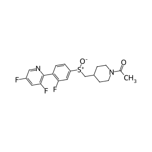 CC(=O)N1CCC(C[S+]([O-])c2ccc(-c3ncc(F)cc3F)c(F)c2)CC1